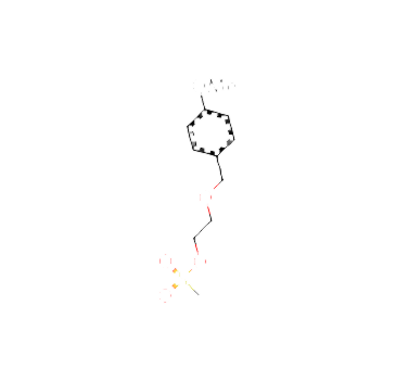 COc1ccc(COCCOS(C)(=O)=O)cc1